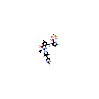 Cc1cc([C@@H](C)Nc2ccc(Cl)nc2C(=O)NS(C)(=O)=O)c2nc(N3C[C@@H]4C(c5cnc(C)nc5)[C@@H]4C3)n(C3CC3)c(=O)c2c1